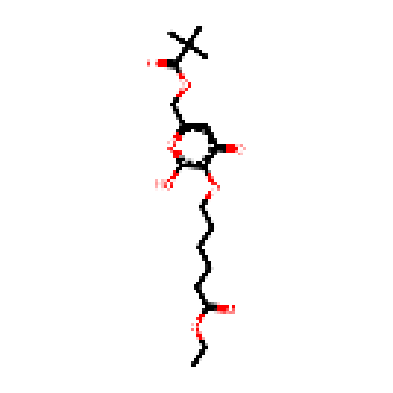 CCOC(=O)CCCCCOc1c(O)oc(COC(=O)C(C)(C)C)cc1=O